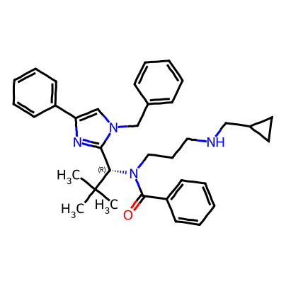 CC(C)(C)[C@H](c1nc(-c2ccccc2)cn1Cc1ccccc1)N(CCCNCC1CC1)C(=O)c1ccccc1